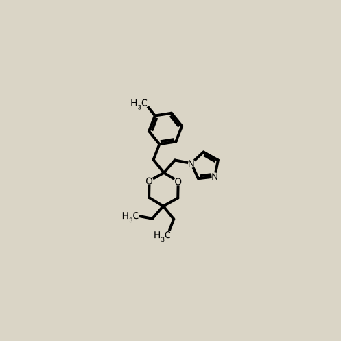 CCC1(CC)COC(Cc2cccc(C)c2)(Cn2ccnc2)OC1